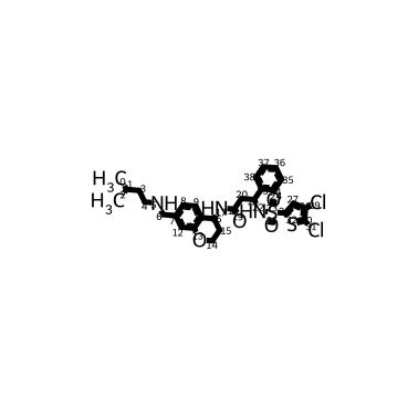 CC(C)CCNCc1ccc2c(c1)OCCC2NC(=O)CC(NS(=O)(=O)c1cc(Cl)c(Cl)s1)c1ccccc1